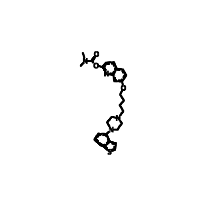 CN(C)C(=O)Oc1ccc2ccc(OCCCCN3CCN(c4cccc5sccc45)CC3)cc2n1